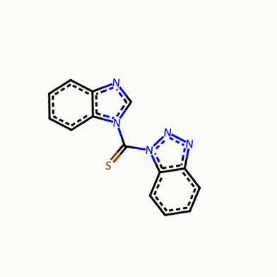 S=C(n1cnc2ccccc21)n1nnc2ccccc21